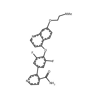 CNCCOc1ccc2c(Oc3c(F)cc(-c4cnccc4C(N)=O)cc3F)ccnc2c1